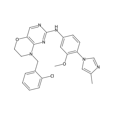 COc1cc(Nc2ncc3c(n2)N(Cc2ccccc2Cl)CCO3)ccc1-n1cnc(C)c1